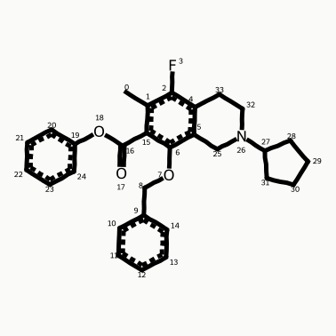 Cc1c(F)c2c(c(OCc3ccccc3)c1C(=O)Oc1ccccc1)CN(C1CCCC1)CC2